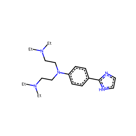 CCN(CC)CCN(CCN(CC)CC)c1ccc(-c2ncc[nH]2)cc1